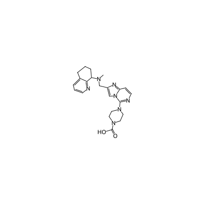 CN(Cc1cn2c(N3CCN(C(=O)O)CC3)nccc2n1)C1CCCc2cccnc21